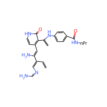 C=CC(=C\N=C/N)/C(N)=C/c1cc[nH]c(=O)c1C(=C)Nc1ccc(C(=O)NCCC)cc1